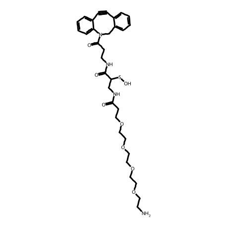 NCCOCCOCCOCCOCCC(=O)NCC(SO)C(=O)NCCC(=O)N1Cc2ccccc2C#Cc2ccccc21